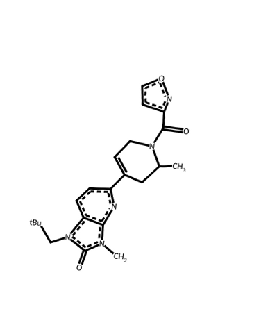 CC1CC(c2ccc3c(n2)n(C)c(=O)n3CC(C)(C)C)=CCN1C(=O)c1ccon1